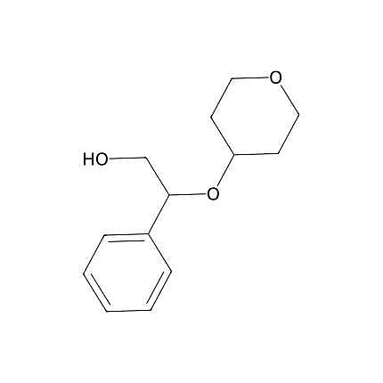 OCC(OC1CCOCC1)c1ccccc1